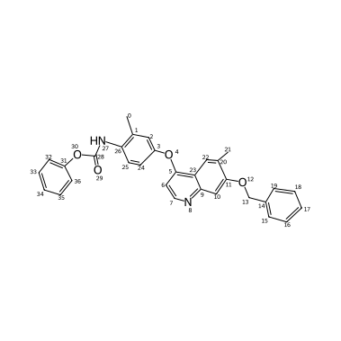 Cc1cc(Oc2ccnc3cc(OCc4ccccc4)c(C)cc23)ccc1NC(=O)Oc1ccccc1